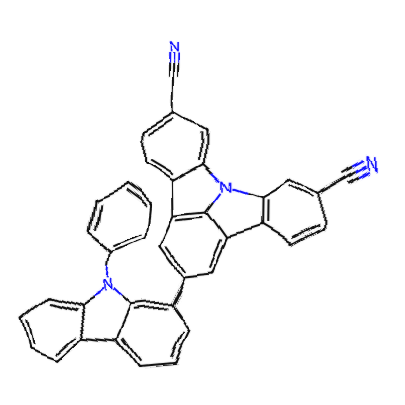 N#Cc1ccc2c3cc(-c4cccc5c6ccccc6n(-c6ccccc6)c45)cc4c5ccc(C#N)cc5n(c2c1)c34